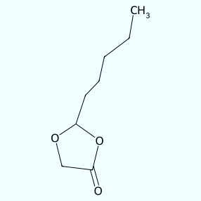 CCCCCC1OCC(=O)O1